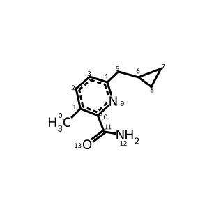 Cc1ccc(CC2CC2)nc1C(N)=O